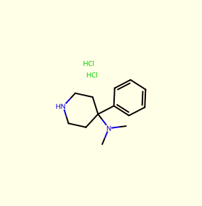 CN(C)C1(c2ccccc2)CCNCC1.Cl.Cl